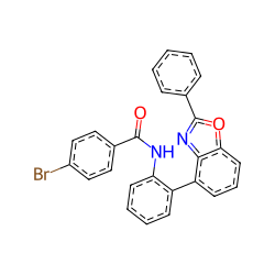 O=C(Nc1ccccc1-c1cccc2oc(-c3ccccc3)nc12)c1ccc(Br)cc1